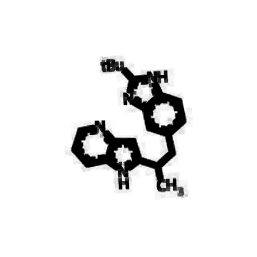 CC(Cc1ccc2[nH]c(C(C)(C)C)nc2c1)c1cc2ncccc2[nH]1